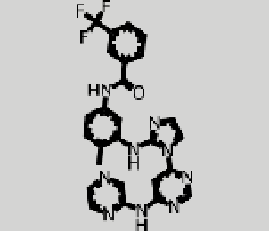 Cc1ccc(NC(=O)c2cccc(C(F)(F)F)c2)cc1Nc1nccn1-c1cc(Nc2cnccn2)ncn1